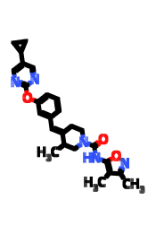 Cc1noc(NC(=O)N2CCC(=Cc3cccc(Oc4ncc(C5CC5)cn4)c3)C(C)C2)c1C